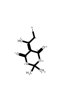 CC1(C)OC(=O)C(=C(O)CI)C(=O)O1